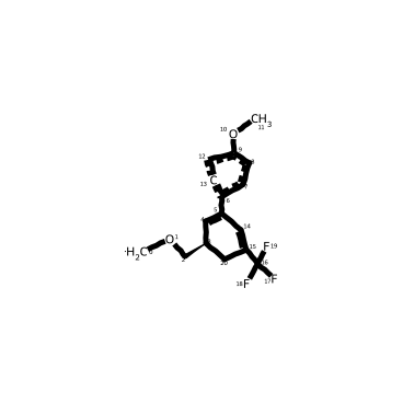 [CH2]OC[C@H]1C=C(c2ccc(OC)cc2)C=C(C(F)(F)F)C1